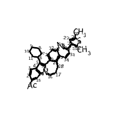 CC(=O)c1ccc2c(C3CCCCC3)c3n(c2c1)CCCc1c-3ccc2nc(-c3cc(C)sc3C)ccc12